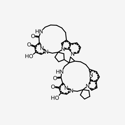 O=C1NCC2(C3CCC4(C3)Cn3cc(O)c(=O)c(n3)C(=O)NCCCCCc3cn4c4ncccc34)CC2CCc2ccc3ccn(c3n2)C2(CCCC2)Cn2cc(O)c(=O)c1n2